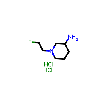 Cl.Cl.NC1CCCN(CCF)C1